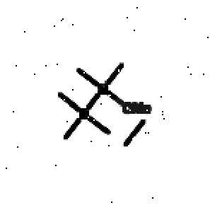 CC.CO[Si](C)(C)[Si](C)(C)C